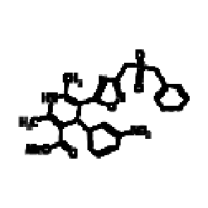 COC(=O)C1=C(C)NC(C)=C(c2nc(CS(=O)(=O)Cc3ccccc3)no2)C1c1cccc([N+](=O)[O-])c1